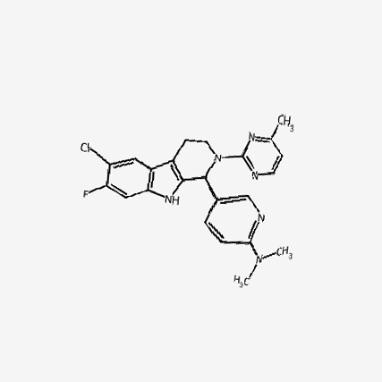 Cc1ccnc(N2CCc3c([nH]c4cc(F)c(Cl)cc34)C2c2ccc(N(C)C)nc2)n1